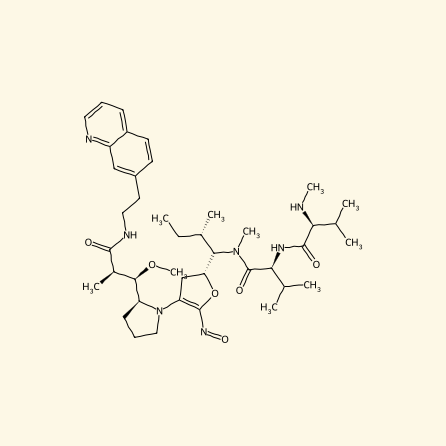 CC[C@H](C)C([C@H]1CC(N2CCC[C@H]2[C@H](OC)[C@@H](C)C(=O)NCCc2ccc3cccnc3c2)=C(N=O)O1)N(C)C(=O)[C@@H](NC(=O)[C@@H](NC)C(C)C)C(C)C